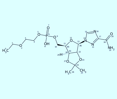 CCOCCOP(=O)(O)OC[C@H]1O[C@@H](n2cnc(C(N)=O)n2)C2OC(C)(C)O[C@H]21